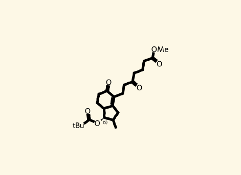 COC(=O)CCCC(=O)CCC1=C2CC(C)[C@H](OC(=O)C(C)(C)C)C2CCC1=O